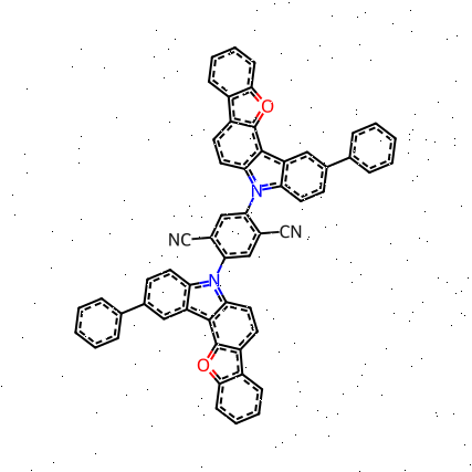 N#Cc1cc(-n2c3ccc(-c4ccccc4)cc3c3c4oc5ccccc5c4ccc32)c(C#N)cc1-n1c2ccc(-c3ccccc3)cc2c2c3oc4ccccc4c3ccc21